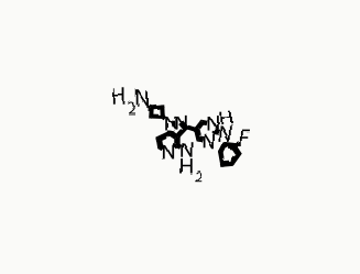 Nc1nccc2c1c(-c1cnc(Nc3ccccc3F)nc1)nn2C1CC(N)C1